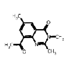 CC(=O)c1cc(C)cc2c(=O)n(C)c(C)nc12